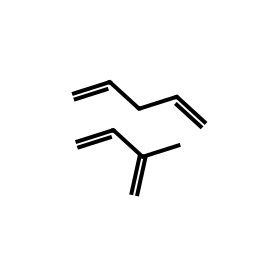 C=CC(=C)C.C=CCC=C